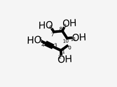 CC(O)C#CO.OCC(O)CO